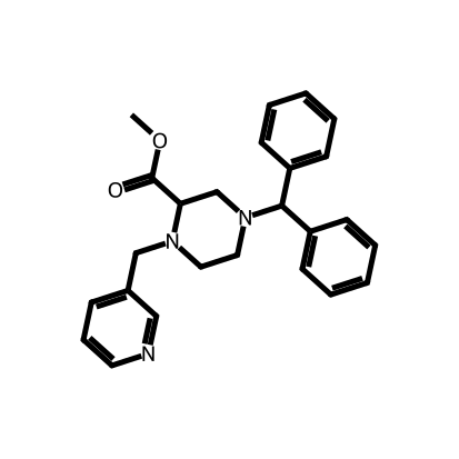 COC(=O)C1CN(C(c2ccccc2)c2ccccc2)CCN1Cc1cccnc1